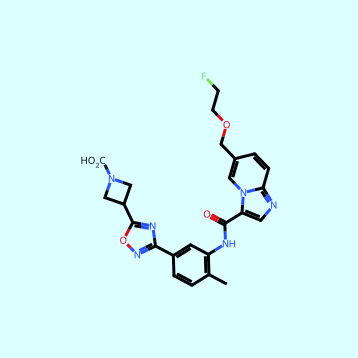 Cc1ccc(-c2noc(C3CN(C(=O)O)C3)n2)cc1NC(=O)c1cnc2ccc(COCCF)cn12